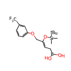 CC(C)(C)[Si](C)(C)O/C(=C\CB(O)O)COc1cccc(C(F)(F)F)c1